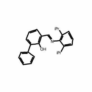 CC(C)c1cccc(C(C)C)c1N=Cc1cccc(-c2ccccc2)c1O